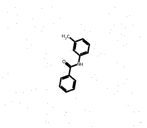 [CH2]c1cccc(NC(=O)c2ccccc2)c1